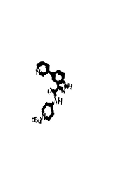 CC(C)(C)N1CCC(NC(=O)c2n[nH]c3ccc(-c4cccnc4)cc23)CC1